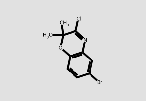 CC1(C)Oc2ccc(Br)cc2N=C1Cl